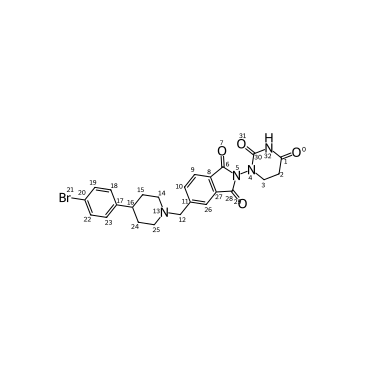 O=C1CCN(N2C(=O)c3ccc(CN4CCC(c5ccc(Br)cc5)CC4)cc3C2=O)C(=O)N1